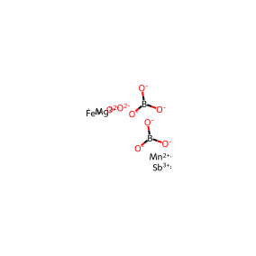 [Fe+3].[Mg+2].[Mn+2].[O-2].[O-2].[O-]B([O-])[O-].[O-]B([O-])[O-].[Sb+3]